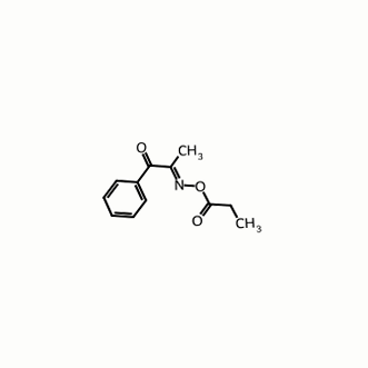 CCC(=O)ON=C(C)C(=O)c1ccccc1